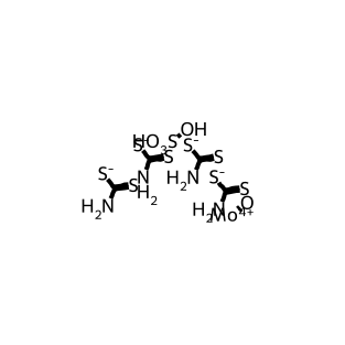 NC(=S)[S-].NC(=S)[S-].NC(=S)[S-].NC(=S)[S-].O=S(=O)(O)O.[O]=[Mo+4]